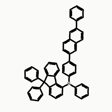 c1ccc(-c2ccc3cc(-c4ccc(N(c5ccccc5)c5cccc6c5-c5ccccc5C6(c5ccccc5)c5ccccc5)cc4)ccc3c2)cc1